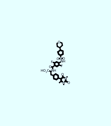 Cc1c(-c2ccc(CC(NC(=O)c3cc(F)c(NS(=O)(=O)c4ccc(C5CCOCC5)cc4)cc3F)C(=O)O)cc2)c(=O)n(C)c(=O)n1C